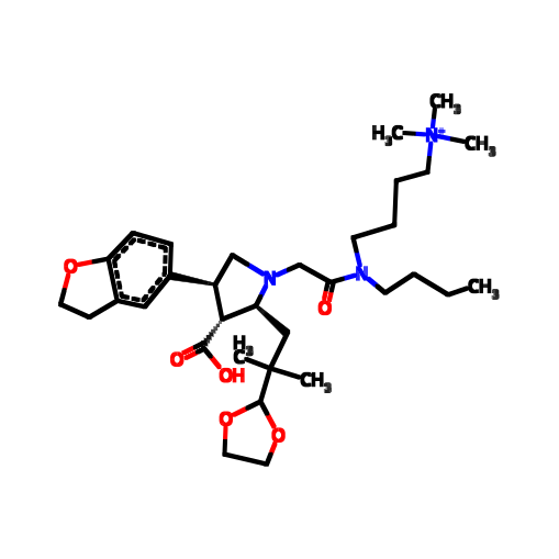 CCCCN(CCCC[N+](C)(C)C)C(=O)CN1C[C@H](c2ccc3c(c2)CCO3)[C@@H](C(=O)O)[C@@H]1CC(C)(C)C1OCCO1